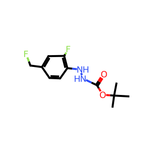 CC(C)(C)OC(=O)NNc1ccc(CF)cc1F